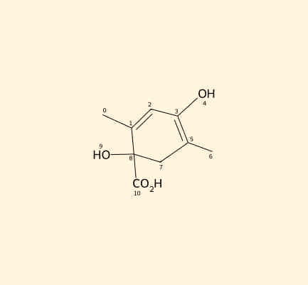 CC1=CC(O)=C(C)CC1(O)C(=O)O